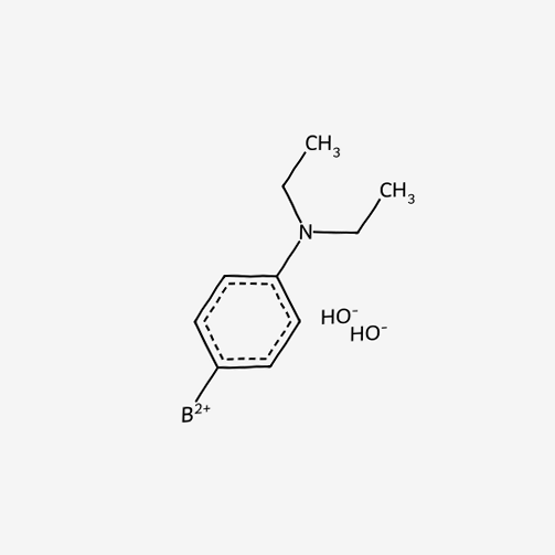 [B+2]c1ccc(N(CC)CC)cc1.[OH-].[OH-]